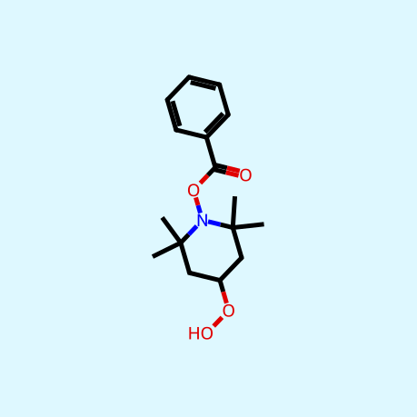 CC1(C)CC(OO)CC(C)(C)N1OC(=O)c1ccccc1